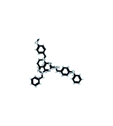 COc1ccc(CN2CCc3nn(Cc4ccccc4)c4nc(NCc5ccc(Oc6ccccc6)cc5)nc2c34)cc1